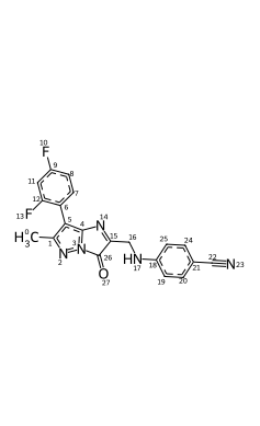 Cc1nn2c(c1-c1ccc(F)cc1F)N=C(CNc1ccc(C#N)cc1)C2=O